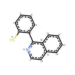 Sc1ccccc1-c1nccc2ccccc12